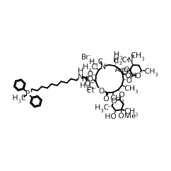 CC[C@H]1OC(=O)[C@H](C)[C@@H](O[C@H]2C[C@@](C)(OC)[C@@H](O)[C@H](C)O2)[C@H](C)[C@@H](O[C@@H]2O[C@H](C)C[C@H](N(C)C)[C@H]2OC(C)=O)[C@](C)(O)C[C@@H](C)CN(C)[C@H](C)[C@@H](OC(=O)NCCCCCCCCCC[P+](C)(c2ccccc2)c2ccccc2)[C@]1(C)O.[Br-]